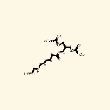 CCCCCCCCC(=O)OCC(COC(=O)CCCCCCCC)COC(=O)CCCCCNCCO